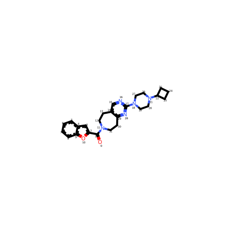 O=C(c1cc2ccccc2o1)N1CCc2cnc(N3CCN(C4CCC4)CC3)nc2CC1